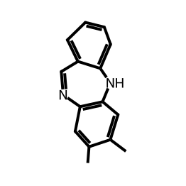 Cc1cc2c(cc1C)Nc1ccccc1C=N2